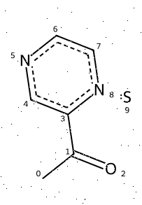 CC(=O)c1cnccn1.[S]